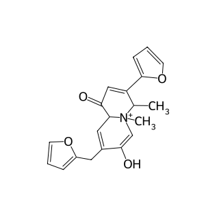 CC1C(c2ccco2)=CC(=O)C2C=C(Cc3ccco3)C(O)=C[N+]12C